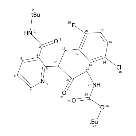 CC(C)(C)NC(=O)c1cccnc1C(Cc1cc(Cl)ccc1F)C(=O)CNC(=O)OC(C)(C)C